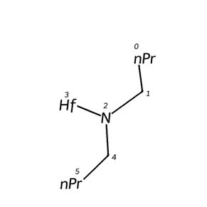 CCCC[N]([Hf])CCCC